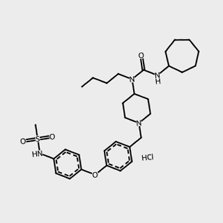 CCCCN(C(=O)NC1CCCCCC1)C1CCN(Cc2ccc(Oc3ccc(NS(C)(=O)=O)cc3)cc2)CC1.Cl